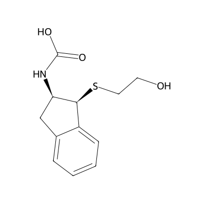 O=C(O)N[C@@H]1Cc2ccccc2[C@@H]1SCCO